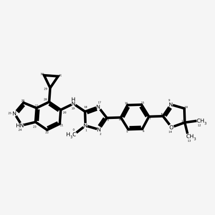 Cn1nc(-c2ccc(C3=NCC(C)(C)O3)cc2)nc1Nc1ccc2[nH]ncc2c1C1CC1